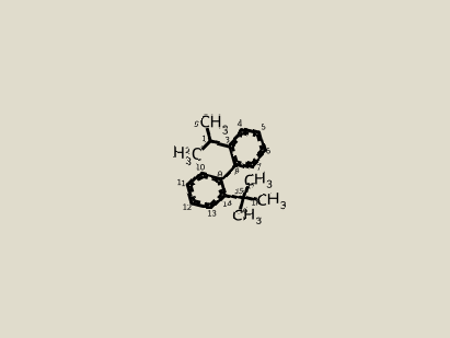 CC(C)c1[c]cccc1-c1ccccc1C(C)(C)C